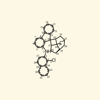 Clc1c(Nc2cccc3c2C2(c4ccccc4-3)C3CC4CC5CC2C3(C4)C5)ccc2ccccc12